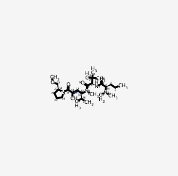 CCC[C@H](C(=O)N[C@H](C(=O)N(C)[C@H](/C=C(\C)C(=O)N1CCC[C@H]1COC)C(C)C)C(C)(C)C)N(C)C